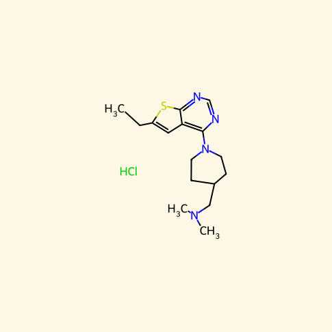 CCc1cc2c(N3CCC(CN(C)C)CC3)ncnc2s1.Cl